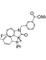 COC(=O)c1cccc(CN2C(=O)[C@@]3(C[C@@]3(C(C)C)C3C=CC(I)=CC3)c3cc(F)ccc32)c1